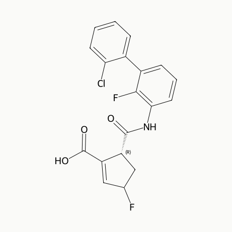 O=C(O)C1=CC(F)C[C@H]1C(=O)Nc1cccc(-c2ccccc2Cl)c1F